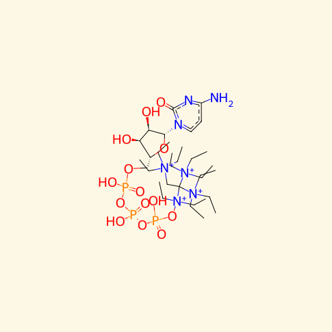 CC[N+](CC)(CC)CC([N+](CC)(CC)CC)([N+](CC)(CC)CC)[N+](CC)(CC)OP(=O)(O)OP(=O)(O)OP(=O)(O)OC[C@H]1O[C@@H](n2ccc(N)nc2=O)[C@H](O)[C@@H]1O